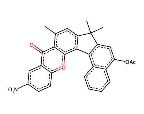 CC(=O)Oc1cc2c(c3ccccc13)-c1c(cc(C)c3c(=O)c4cc([N+](=O)[O-])ccc4oc13)C2(C)C